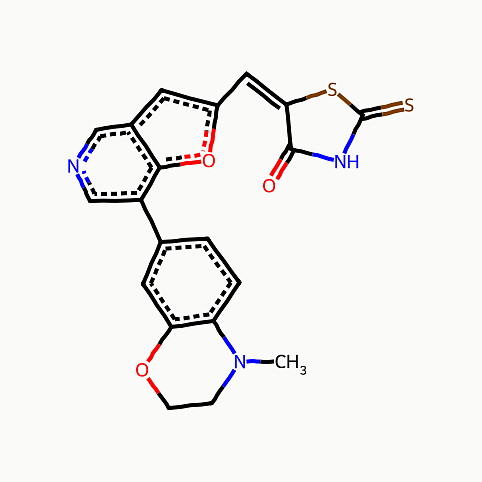 CN1CCOc2cc(-c3cncc4cc(C=C5SC(=S)NC5=O)oc34)ccc21